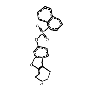 O=S(=O)(Oc1ccc2c(c1)OC1CNCCC21)c1cccc2ccccc12